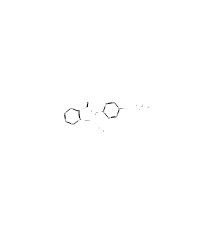 COc1ccc(N2C(=O)c3ccccc3C2C#N)cc1